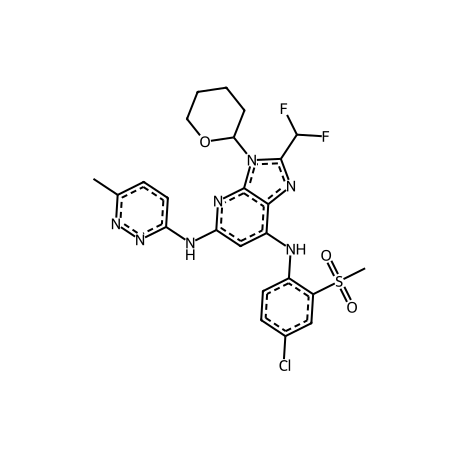 Cc1ccc(Nc2cc(Nc3ccc(Cl)cc3S(C)(=O)=O)c3nc(C(F)F)n(C4CCCCO4)c3n2)nn1